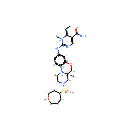 C/C=C1\C(C(N)=O)=CN=C(Nc2ccc3c(c2)OC[C@H]2CN([S+]([O-])C4CCCOCC4)CCN32)N1C